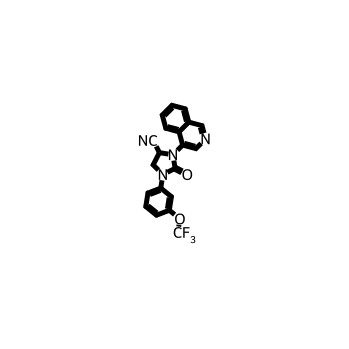 N#CC1CN(c2cccc(OC(F)(F)F)c2)C(=O)N1c1cncc2ccccc12